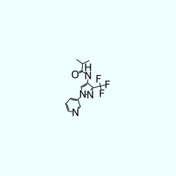 CC(C)C(=O)Nc1cn(-c2cccnc2)nc1C(F)(F)F